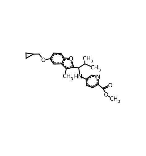 COC(=O)c1ccc(NC(c2oc3ccc(OCC4CC4)cc3c2C)C(C)C)cn1